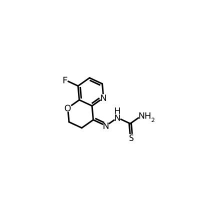 NC(=S)N/N=C1/CCOc2c(F)ccnc21